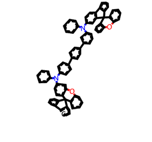 c1ccc(N(c2ccc(-c3ccc(-c4cccc(N(c5ccccc5)c5ccc6c(c5)C5(c7ccccc7Oc7ccccc75)c5ccccc5-6)c4)cc3)cc2)c2ccc3c(c2)Oc2ccccc2C32c3ccccc3-c3ccccc32)cc1